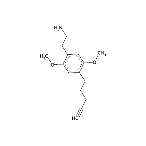 C#CCCCc1cc(OC)c(CCN)cc1OC